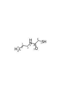 C=CCNC(=O)CS